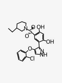 CCC1CCCN(S(=O)(=O)c2cc(-c3n[nH]cc3Oc3ccccc3Cl)c(O)cc2O)C1